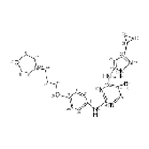 Brc1cnc(Nc2ccc(OCCCN3CCOCC3)cc2)nc1Nc1cc(C2CC2)n[nH]1